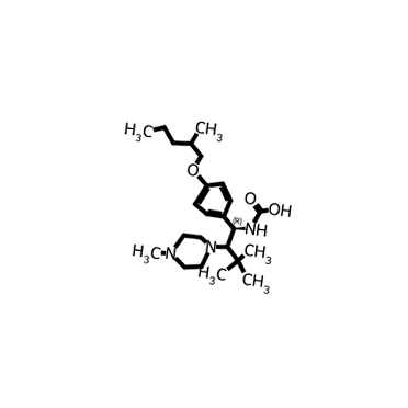 CCCC(C)COc1ccc([C@@H](NC(=O)O)C(N2CCN(C)CC2)C(C)(C)C)cc1